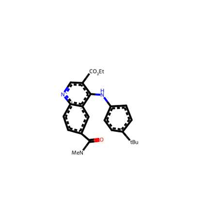 CCOC(=O)c1cnc2ccc(C(=O)NC)cc2c1Nc1ccc(C(C)(C)C)cc1